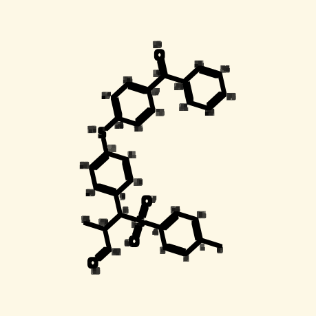 Cc1ccc(S(=O)(=O)C(c2ccc(Sc3ccc(C(=O)c4ccccc4)cc3)cc2)C(C)C=O)cc1